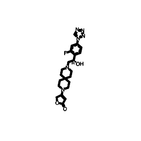 O=C1C=C(N2CCC3(CCN(C[C@H](O)c4ccc(-n5cnnn5)cc4F)CC3)CC2)CO1